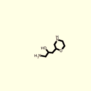 NCC(O)CC1CNCCO1